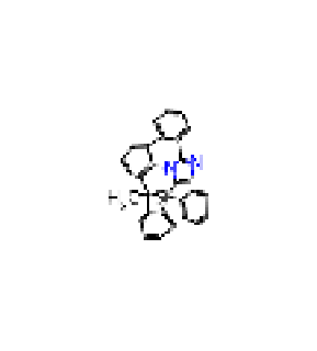 CC12c3ccccc3[Si]1(c1ccccc1)c1cnc3c4ccccc4c4cccc2c4n13